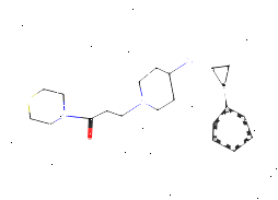 O=C(CCN1CCC(N[C@@H]2C[C@H]2c2ccccc2)CC1)N1CCSCC1